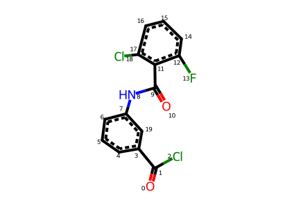 O=C(Cl)c1cccc(NC(=O)c2c(F)cccc2Cl)c1